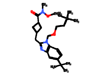 CON(C)C(=O)C1CC(Cc2nc3cc(C(C)(C)C)ccc3n2COCC[Si](C)(C)C)C1